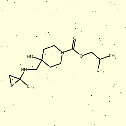 CC(C)COC(=O)N1CCC(O)(CNC2(C)CC2)CC1